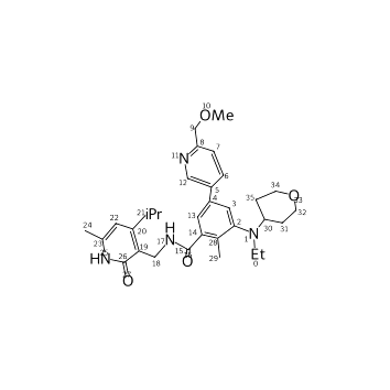 CCN(c1cc(-c2ccc(COC)nc2)cc(C(=O)NCc2c(C(C)C)cc(C)[nH]c2=O)c1C)C1CCOCC1